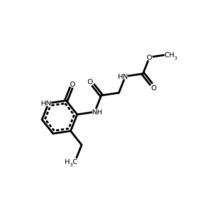 CCc1cc[nH]c(=O)c1NC(=O)CNC(=O)OC